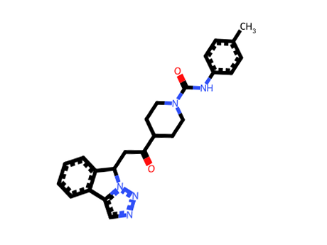 Cc1ccc(NC(=O)N2CCC(C(=O)CC3c4ccccc4-c4cnnn43)CC2)cc1